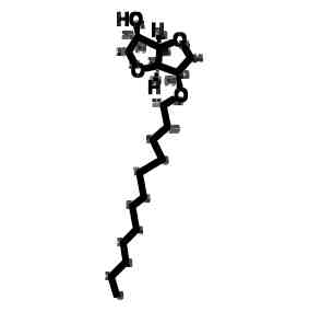 CCCCCCCCCCCCO[C@@H]1CO[C@H]2[C@@H]1OC[C@H]2O